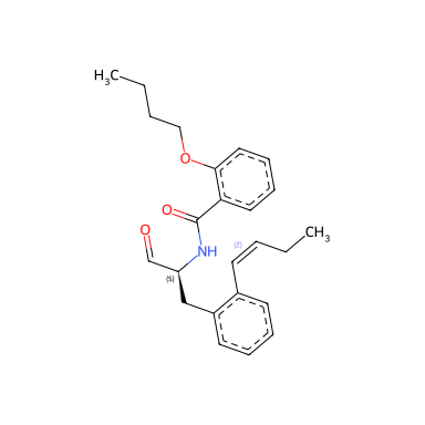 CC/C=C\c1ccccc1C[C@@H](C=O)NC(=O)c1ccccc1OCCCC